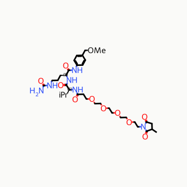 COCc1ccc(NC(=O)[C@H](CCCNC(N)=O)NC(=O)[C@@H](NC(=O)CCOCCOCCOCCOCCN2C(=O)CC(C)C2=O)C(C)C)cc1